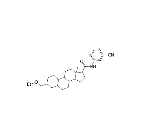 CCOCC1CCC2C(CCC3C2CCC2(C)C(C(=O)Nc4cc(C#N)ncn4)CCC32)C1